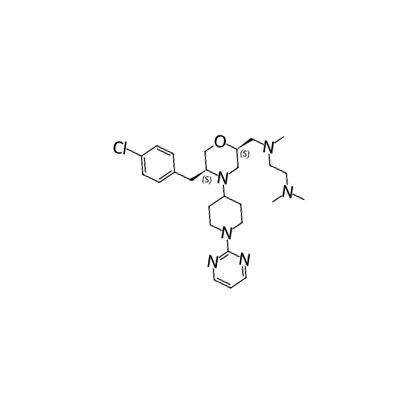 CN(C)CCN(C)C[C@H]1CN(C2CCN(c3ncccn3)CC2)[C@@H](Cc2ccc(Cl)cc2)CO1